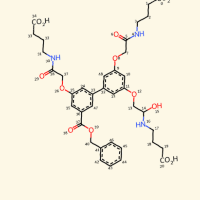 O=C(O)CCCNC(=O)COc1cc(OCC(O)NCCCC(=O)O)cc(-c2cc(OCC(=O)NCCCC(=O)O)cc(C(=O)OCc3ccccc3)c2)c1